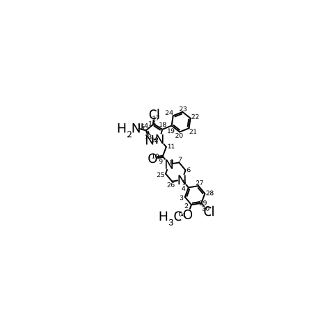 COc1cc(N2CCN(C(=O)Cn3nc(N)c(Cl)c3-c3ccccc3)CC2)ccc1Cl